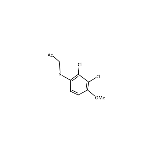 COc1ccc(SCC(C)=O)c(Cl)c1Cl